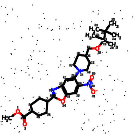 COC(=O)C1CCC(c2nc3cc(N4CCC(CO[Si](C)(C)C(C)(C)C)CC4)c([N+](=O)[O-])cc3o2)CC1